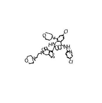 CN(CCN1CCOCC1)Cc1csc(C(=O)Nc2c(C(=O)Nc3ccc(Cl)cn3)cc(Cl)cc2N2CCOCC2)c1Cl